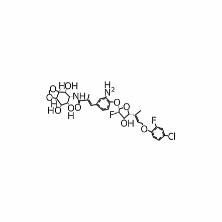 C/C(=C\c1ccc(O[C@@H]2O[C@H](/C(C)=C/COc3ccc(Cl)cc3F)[C@@H](O)[C@H]2F)c(N)c1)C(=O)N[C@@H]1[C@H](O)[C@@H](O)[C@H]2OCO[C@H]2[C@@H]1O